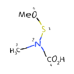 COSN(C)C(=O)O